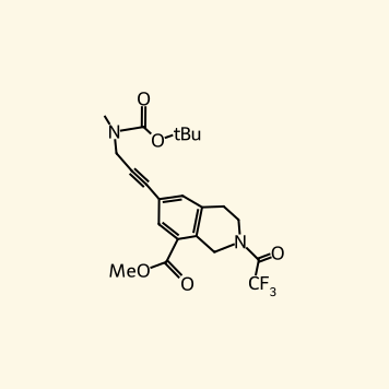 COC(=O)c1cc(C#CCN(C)C(=O)OC(C)(C)C)cc2c1CN(C(=O)C(F)(F)F)CC2